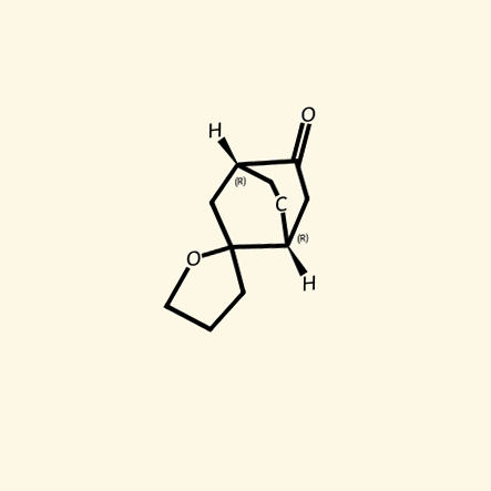 O=C1C[C@H]2CC[C@@H]1CC21CCCO1